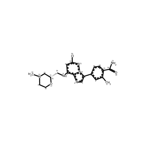 Cc1cc(-c2cnc3c(NC[C@H]4CN(C)CCO4)cc(Cl)nn23)ccc1C(N)=O